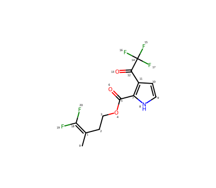 CC(CCOC(=O)c1[nH]ccc1C(=O)C(F)(F)F)=C(F)F